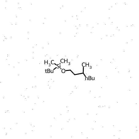 CC[CH]CC(C)CCO[Si](C)(C)C(C)(C)C